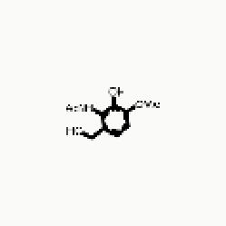 COc1ccc(CO)c(NC(C)=O)c1O